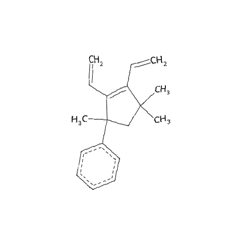 C=CC1=C(C=C)C(C)(c2ccccc2)CC1(C)C